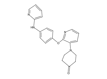 O=C1CCN(c2cccnc2Oc2ccc(Nc3ccccn3)cc2)CC1